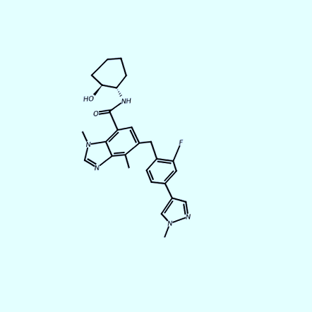 Cc1c(Cc2ccc(-c3cnn(C)c3)cc2F)cc(C(=O)N[C@H]2CCCC[C@@H]2O)c2c1ncn2C